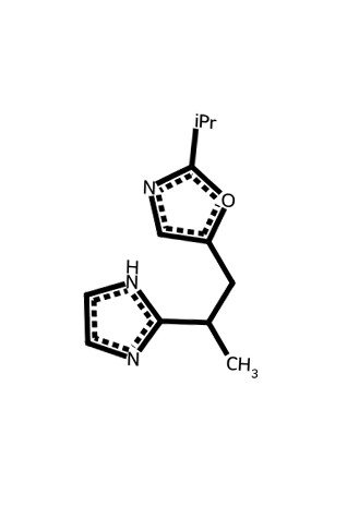 CC(C)c1ncc(CC(C)c2ncc[nH]2)o1